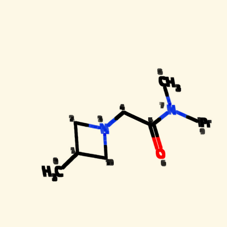 CC1CN(CC(=O)N(C)C(C)C)C1